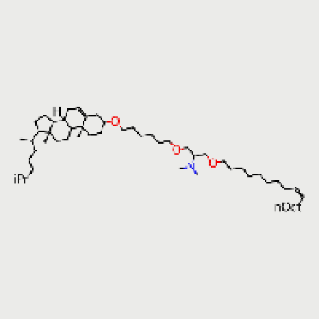 CCCCCCCC/C=C\CCCCCCCCOC[C@H](COCCCCCCO[C@H]1CC[C@@]2(C)C(=CC[C@@H]3C2CC[C@@]2(C)C3CC[C@@H]2[C@H](C)CCCC(C)C)C1)N(C)C